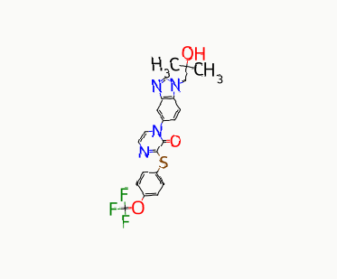 CC(C)(O)Cn1cnc2cc(-n3ccnc(Sc4ccc(OC(F)(F)F)cc4)c3=O)ccc21